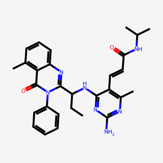 CCC(Nc1nc(N)nc(C)c1/C=C/C(=O)NC(C)C)c1nc2cccc(C)c2c(=O)n1-c1ccccc1